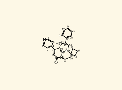 O=c1cc(-c2ccncc2)nc2n1CCC1(CCC1)N2C[C@@H](O)c1ccccc1